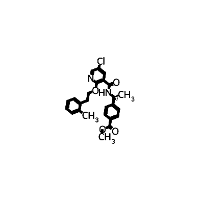 COC(=O)c1ccc([C@H](C)NC(=O)c2cc(Cl)cnc2OCCc2ccccc2C)cc1